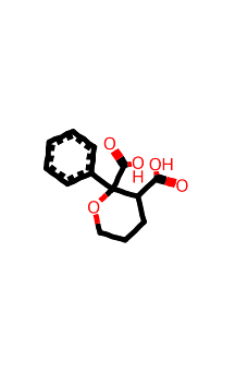 O=C(O)C1CCCOC1(C(=O)O)c1ccccc1